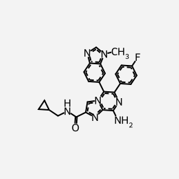 Cn1cnc2ccc(-c3c(-c4ccc(F)cc4)nc(N)c4nc(C(=O)NCC5CC5)cn34)cc21